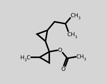 CC(=O)OC1(C2CC2CC(C)C)CC1C